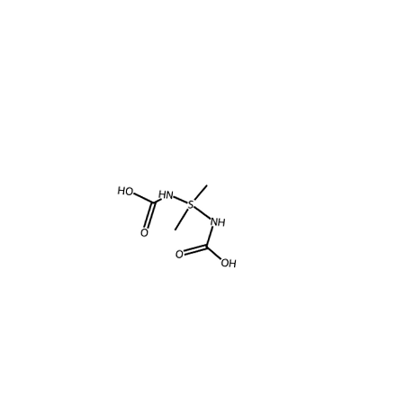 CS(C)(NC(=O)O)NC(=O)O